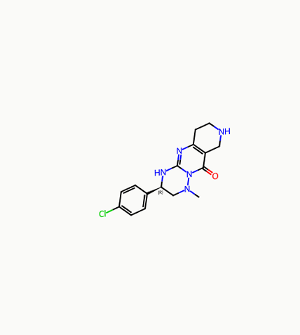 CN1C[C@@H](c2ccc(Cl)cc2)Nc2nc3c(c(=O)n21)CNCC3